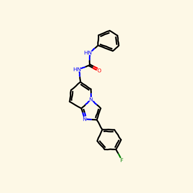 O=C(Nc1ccccc1)Nc1ccc2nc(-c3ccc(F)cc3)cn2c1